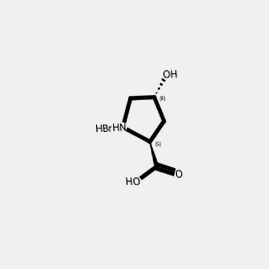 Br.O=C(O)[C@@H]1C[C@@H](O)CN1